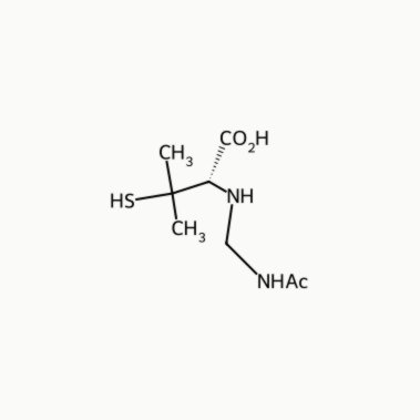 CC(=O)NCN[C@@H](C(=O)O)C(C)(C)S